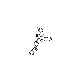 O=c1c(OC2Cc3ccccc3C2)c(N2CCN([S@+]([O-])Cc3ccccc3)CC2)cnn1-c1cccc(F)c1